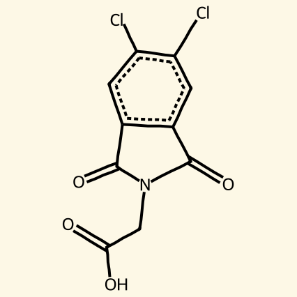 O=C(O)CN1C(=O)c2cc(Cl)c(Cl)cc2C1=O